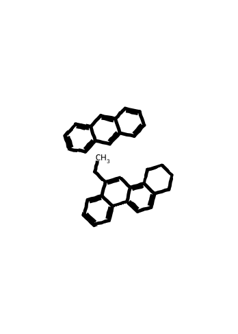 CCc1cc2c3c(ccc2c2ccccc12)CCCC3.c1ccc2cc3ccccc3cc2c1